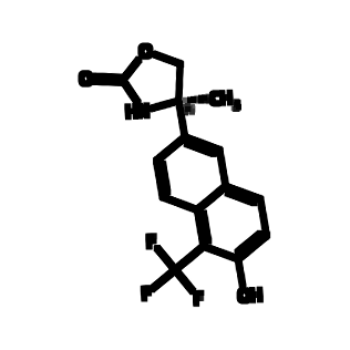 C[C@@]1(c2ccc3c(C(F)(F)F)c(O)ccc3c2)COC(=O)N1